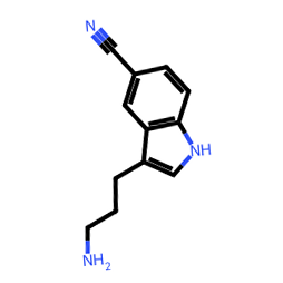 N#Cc1ccc2[nH]cc(CCCN)c2c1